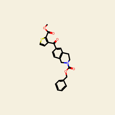 COC(=O)c1sccc1C(=O)c1ccc2c(c1)CCN(C(=O)OCc1ccccc1)C2